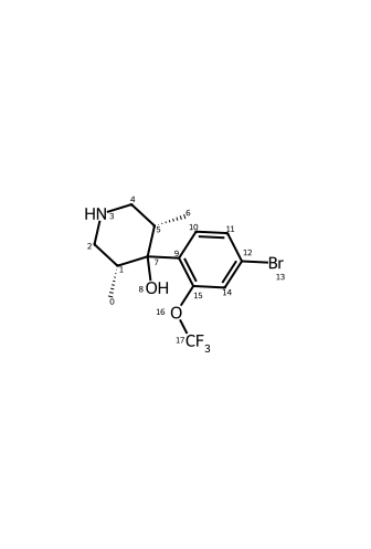 C[C@@H]1CNC[C@H](C)C1(O)c1ccc(Br)cc1OC(F)(F)F